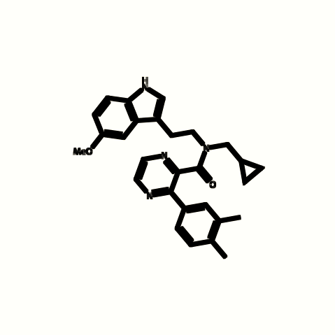 COc1ccc2[nH]cc(CCN(CC3CC3)C(=O)c3nccnc3-c3ccc(C)c(C)c3)c2c1